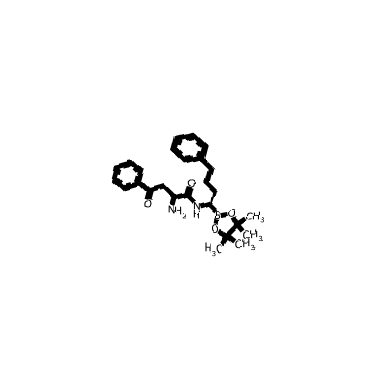 CC1(C)OB([C@H](CCCc2ccccc2)NC(=O)C(N)CC(=O)c2ccccc2)OC1(C)C